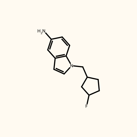 Nc1ccc2c(ccn2CC2CCC(F)C2)c1